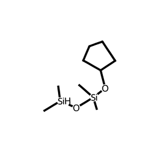 C[SiH](C)O[Si](C)(C)OC1CCCC1